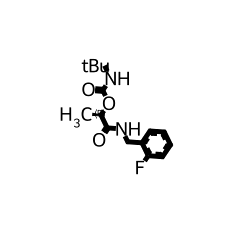 C[C@@H](OC(=O)NC(C)(C)C)C(=O)NCc1ccccc1F